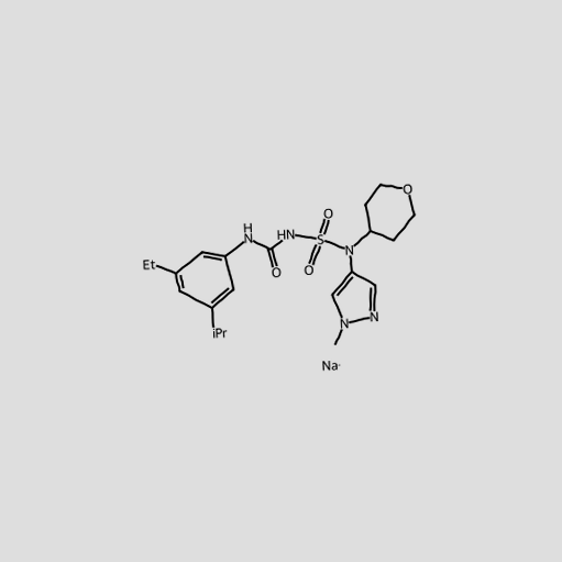 CCc1cc(NC(=O)NS(=O)(=O)N(c2cnn(C)c2)C2CCOCC2)cc(C(C)C)c1.[Na]